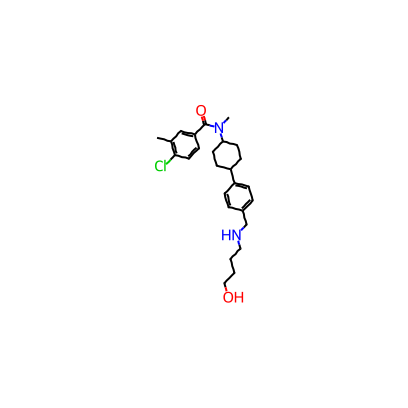 Cc1cc(C(=O)N(C)C2CCC(c3ccc(CNCCCCO)cc3)CC2)ccc1Cl